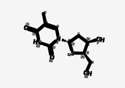 Cc1cn([C@@H]2C[C@@H](O)[C@@H](CO)S2)c(=O)[nH]c1=O